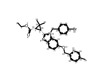 CCOC(=O)[C@H]1[C@@H](c2nc3ccc(OCc4ccc(C)cn4)cc3n2Cc2ccc(Br)cc2)C1(C)C